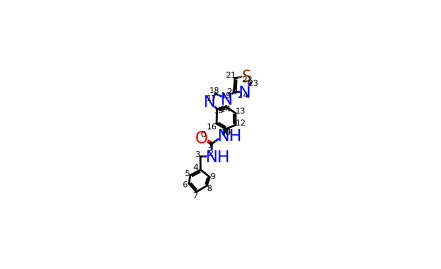 O=C(NCc1ccccc1)Nc1ccc2c(c1)ncn2-c1cscn1